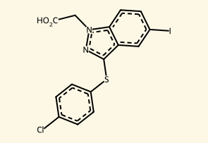 O=C(O)Cn1nc(Sc2ccc(Cl)cc2)c2cc(I)ccc21